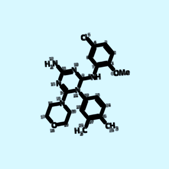 COc1ccc(Cl)cc1NC1N=C(N)N=C(N2CCOCC2)N1c1ccc(C)c(C)c1